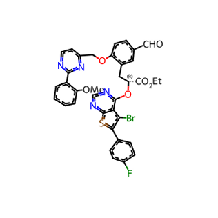 CCOC(=O)[C@@H](Cc1cc(C=O)ccc1OCc1ccnc(-c2ccccc2OC)n1)Oc1ncnc2sc(-c3ccc(F)cc3)c(Br)c12